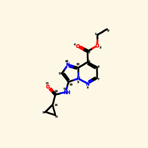 CCOC(=O)c1ccnn2c(NC(=O)C3CC3)cnc12